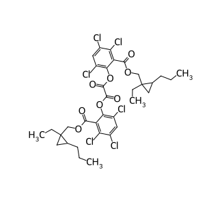 CCCC1CC1(CC)COC(=O)c1c(Cl)c(Cl)cc(Cl)c1OC(=O)C(=O)Oc1c(Cl)cc(Cl)c(Cl)c1C(=O)OCC1(CC)CC1CCC